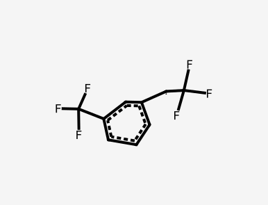 FC(F)(F)[CH]c1cccc(C(F)(F)F)c1